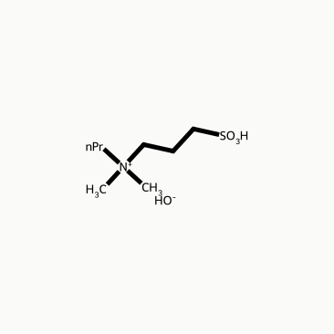 CCC[N+](C)(C)CCCS(=O)(=O)O.[OH-]